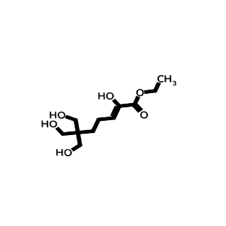 CCOC(=O)C(O)=CCCC(CO)(CO)CO